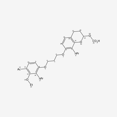 CCCc1c(OCCCOc2ccc(C(C)=O)c(OCC)c2CCC)ccc2c1OC(OC(=O)O)CC2